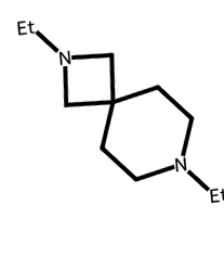 CCN1CCC2(CC1)CN(CC)C2